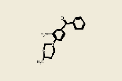 Nc1cc(C(=O)c2ccccc2)ccc1N1CCC(N)CC1